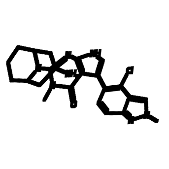 Cn1cc2c(Cl)c(-c3c[nH]c4nc(N5C6CCCC5CC(N)C6)n(C)c(=O)c34)ccc2n1